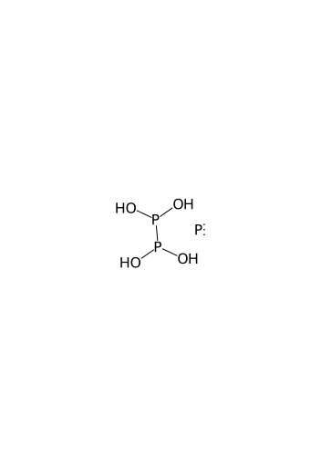 OP(O)P(O)O.[P]